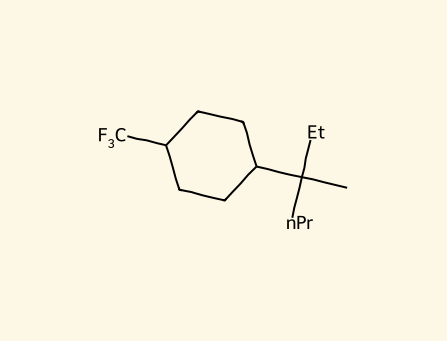 CCCC(C)(CC)C1CCC(C(F)(F)F)CC1